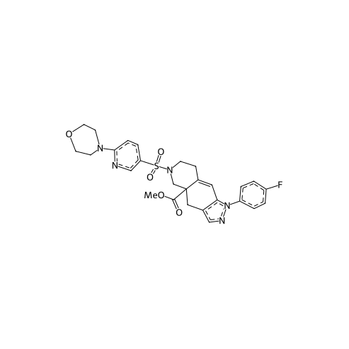 COC(=O)C12Cc3cnn(-c4ccc(F)cc4)c3C=C1CCN(S(=O)(=O)c1ccc(N3CCOCC3)nc1)C2